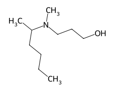 CCCCC(C)N(C)CCCO